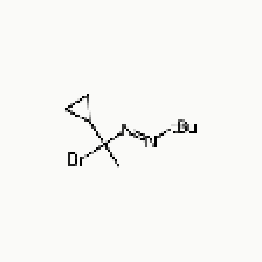 CC(C)(C)N=NC(C)(Br)C1CC1